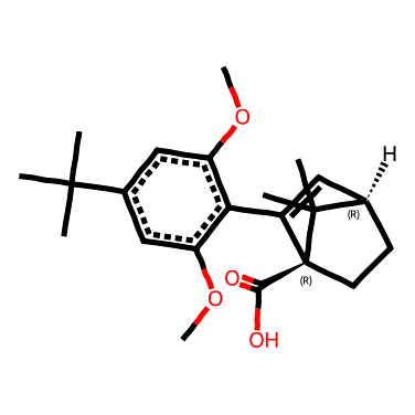 COc1cc(C(C)(C)C)cc(OC)c1C1=C[C@H]2CC[C@@]1(C(=O)O)C2(C)C